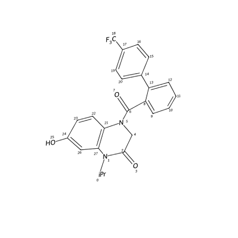 CC(C)N1C(=O)CN(C(=O)c2ccccc2-c2ccc(C(F)(F)F)cc2)c2ccc(O)cc21